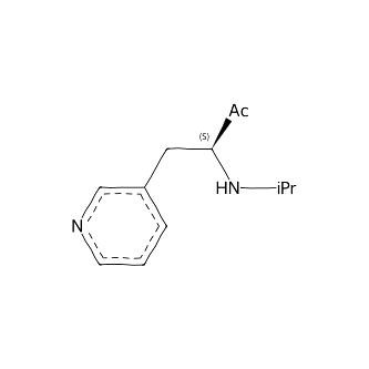 CC(=O)[C@H](Cc1cccnc1)NC(C)C